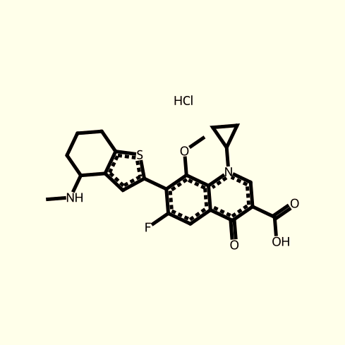 CNC1CCCc2sc(-c3c(F)cc4c(=O)c(C(=O)O)cn(C5CC5)c4c3OC)cc21.Cl